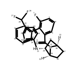 O=C(c1cccc(F)c1-c1ncccn1)N1[C@@H]2CC[C@H]1[C@H](Nc1ccc(C(F)F)cn1)C2